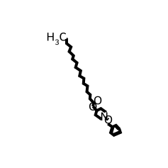 CCCCCCCCCCCCCCCCCC(=O)OC1CCN(OCc2ccccc2)CC1